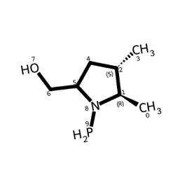 C[C@@H]1[C@@H](C)CC(CO)N1P